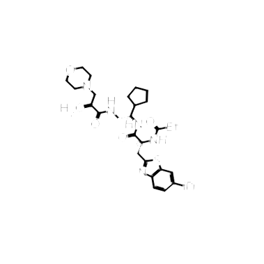 C=C(CN1CCOCC1)C(=O)NC[C@@H](NC(=O)[C@H](Cc1nc2ccc(C(C)C)cc2s1)NC(=O)CC)C1CCCC1